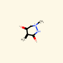 C=C1C(=O)CN(C)NC1=O